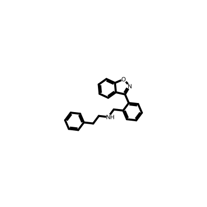 c1ccc(CCNCc2ccccc2-c2noc3ccccc23)cc1